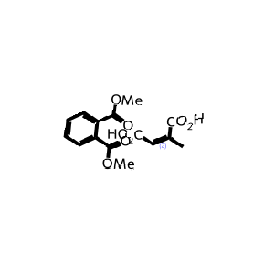 C/C(=C/C(=O)O)C(=O)O.COC(=O)c1ccccc1C(=O)OC